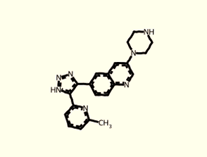 Cc1cccc(-c2[nH]nnc2-c2ccc3ncc(N4CCNCC4)cc3c2)n1